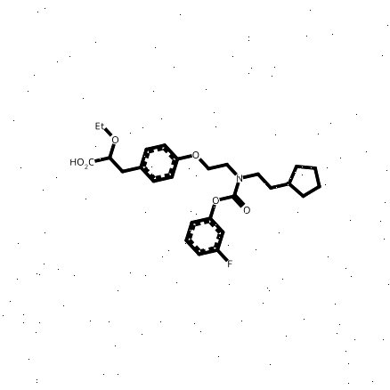 CCOC(Cc1ccc(OCCN(CCC2CCCC2)C(=O)Oc2cccc(F)c2)cc1)C(=O)O